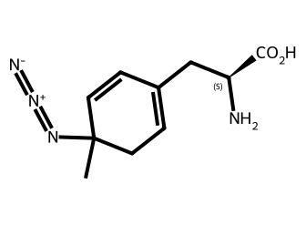 CC1(N=[N+]=[N-])C=CC(C[C@H](N)C(=O)O)=CC1